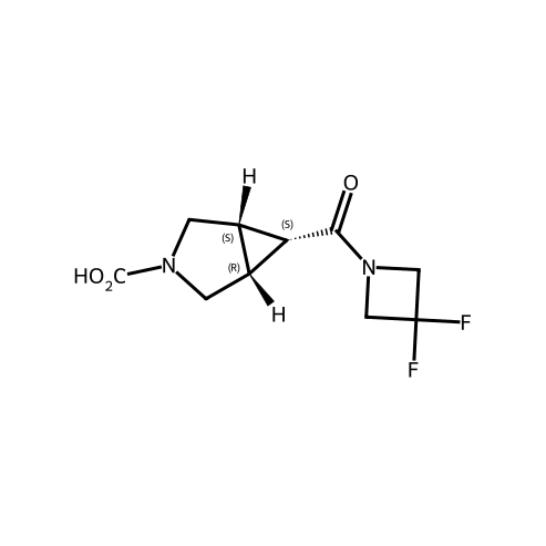 O=C(O)N1C[C@@H]2[C@H](C1)[C@@H]2C(=O)N1CC(F)(F)C1